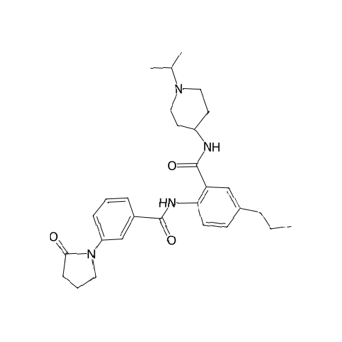 CCCc1ccc(NC(=O)c2cccc(N3CCCC3=O)c2)c(C(=O)NC2CCN(C(C)C)CC2)c1